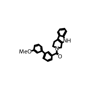 COc1cccc(-c2cccc(C(=O)N3CCc4c([nH]c5ccccc45)C3)c2)c1